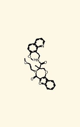 COCCN1C(=O)c2oc3ccccc3c2OCC1(C)C(=O)NCc1c(OC)ccc2cccnc12